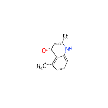 CCc1cc(=O)c2c(C)cccc2[nH]1